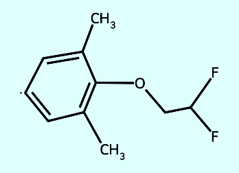 Cc1c[c]cc(C)c1OCC(F)F